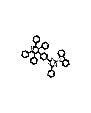 c1ccc(C2=NC(c3ccccc3)=C(c3ccccc3)C(c3ccc(-c4nc(-c5ccccc5)nc(-n5c6ccccc6c6ccccc65)n4)cc3)C2c2ccccc2)cc1